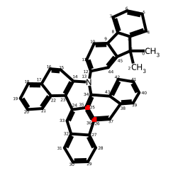 CC1(C)c2ccccc2-c2ccc(N(c3ccc4ccccc4c3-c3ccc4ccccc4c3)c3cccc4ccccc34)cc21